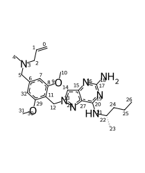 C=CCN(C)Cc1cc(OC)c(Cn2cc3nc(N)nc(N[C@@H](C)CCC)c3n2)c(OC)c1